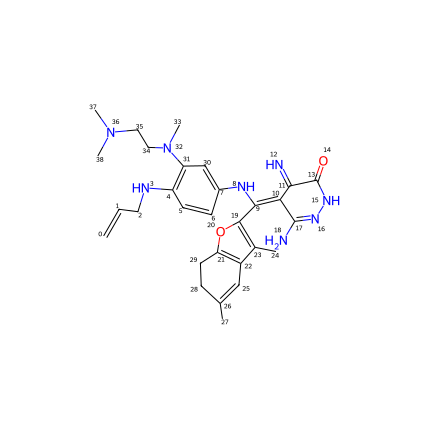 C=CCNc1ccc(N/C(=C2\C(=N)C(=O)NN=C2N)c2oc3c(c2C)C=C(C)CC3)cc1N(C)CCN(C)C